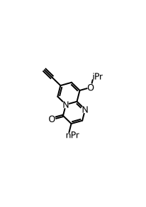 C#Cc1cc(OC(C)C)c2ncc(CCC)c(=O)n2c1